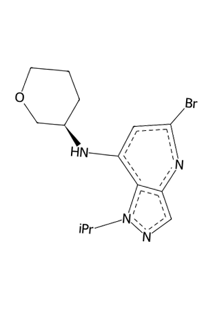 CC(C)n1ncc2nc(Br)cc(N[C@@H]3CCCOC3)c21